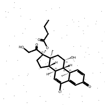 CCCC(=O)O[C@@]1(C(=O)CO)CC[C@H]2[C@@H]3C=C(Cl)C4=CC(=O)C=C[C@]4(C)[C@H]3[C@@H](O)C[C@@]21C